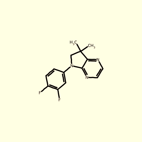 CC1(C)CN(c2ccc(F)c(F)c2)c2nccnc21